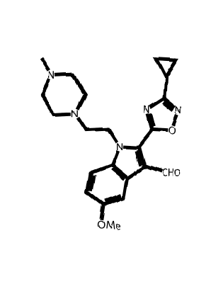 COc1ccc2c(c1)c(C=O)c(-c1nc(C3CC3)no1)n2CCN1CCN(C)CC1